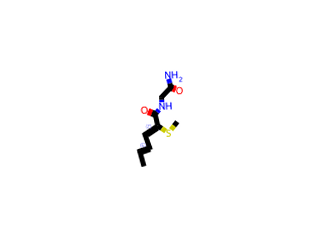 C/C=C/C=C(\SC)C(=O)NCC(N)=O